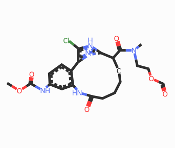 COC(=O)Nc1ccc2c(c1)NC(=O)CCCCC(C(=O)N(C)CCOC=O)c1nc-2c(Cl)[nH]1